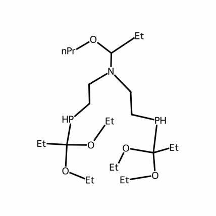 CCCOC(CC)N(CCPC(CC)(OCC)OCC)CCPC(CC)(OCC)OCC